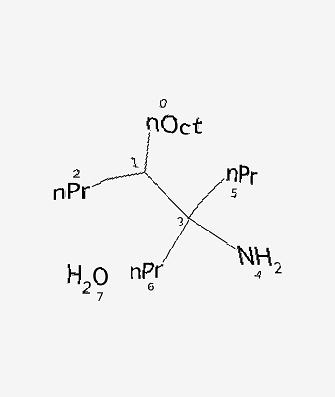 CCCCCCCCC(CCC)C(N)(CCC)CCC.O